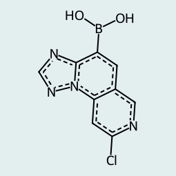 OB(O)c1cc2cnc(Cl)cc2n2ncnc12